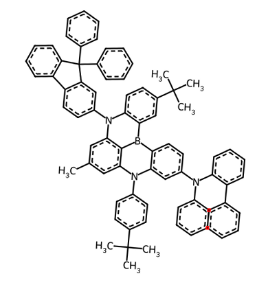 Cc1cc2c3c(c1)N(c1ccc(C(C)(C)C)cc1)c1cc(N(c4ccccc4)c4ccccc4-c4ccccc4)ccc1B3c1cc(C(C)(C)C)ccc1N2c1ccc2c(c1)C(c1ccccc1)(c1ccccc1)c1ccccc1-2